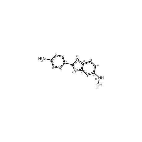 Nc1ccc(-c2nc3cc(NO)ccc3o2)cc1